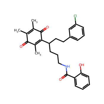 CC1=C(C)C(=O)C(C(CCCNC(=O)c2ccccc2O)CCc2cccc(Cl)c2)=C(C)C1=O